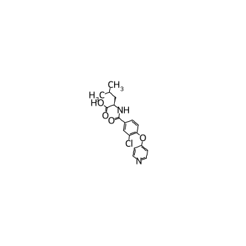 CC(C)C[C@@H](NC(=O)c1ccc(Oc2ccncc2)c(Cl)c1)C(=O)O